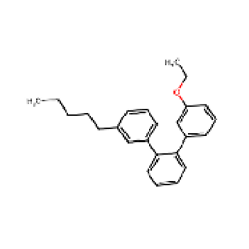 CCCCCc1cccc(-c2ccccc2-c2cccc(OCC)c2)c1